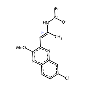 COc1nc2ccc(Cl)cc2nc1/C=C(\C)N[S+]([O-])C(C)C